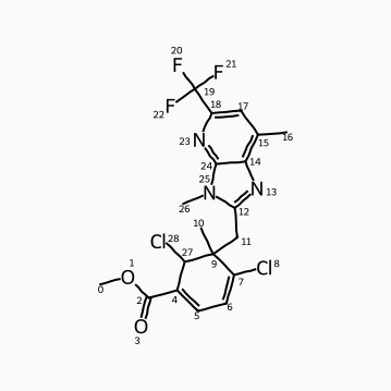 COC(=O)C1=CC=C(Cl)C(C)(Cc2nc3c(C)cc(C(F)(F)F)nc3n2C)C1Cl